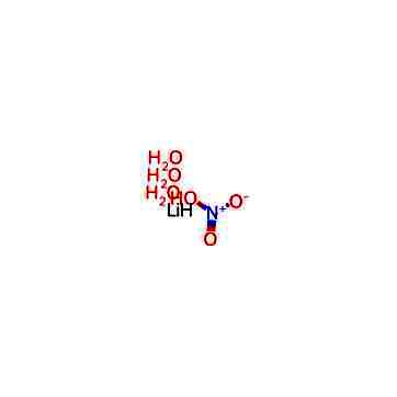 O.O.O.O=[N+]([O-])O.[LiH]